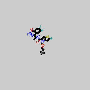 CC(c1n[nH]c(=O)c2cc(F)c(F)cc12)N(C)C(=O)c1cc2sc(F)cc2n1COCC[Si](C)(C)C